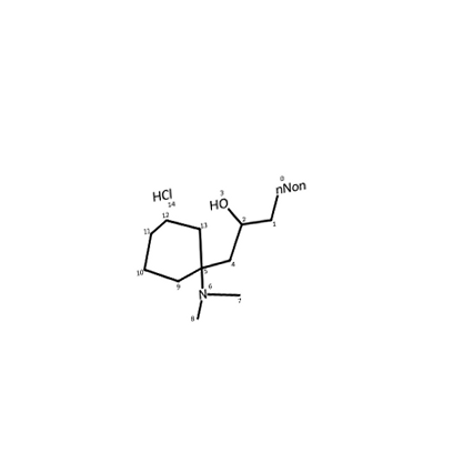 CCCCCCCCCCC(O)CC1(N(C)C)CCCCC1.Cl